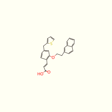 O=C(O)C=Cc1ccc(Cc2cccs2)cc1OCCc1ccc2ccccc2c1